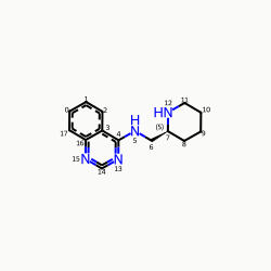 c1ccc2c(NC[C@@H]3CCCCN3)ncnc2c1